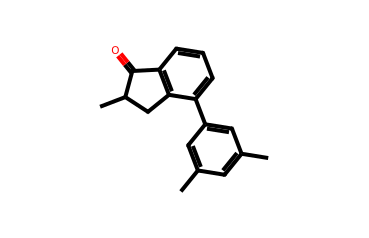 Cc1cc(C)cc(-c2cccc3c2CC(C)C3=O)c1